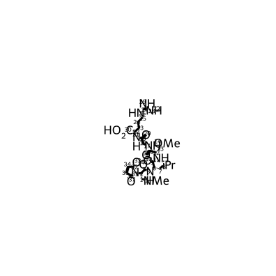 CNC[C@@H](C(=O)N[C@@H](CC(C)C)C(=O)N[C@@H](COC)C(=O)NCC(=O)N[C@@H](CCCNC(=N)N)C(=O)O)N1C(=O)C=CC1=O